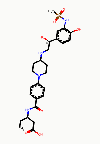 CCC(CC(=O)O)NC(=O)c1ccc(N2CCC(NC[C@@H](O)c3ccc(O)c(NS(C)(=O)=O)c3)CC2)cc1